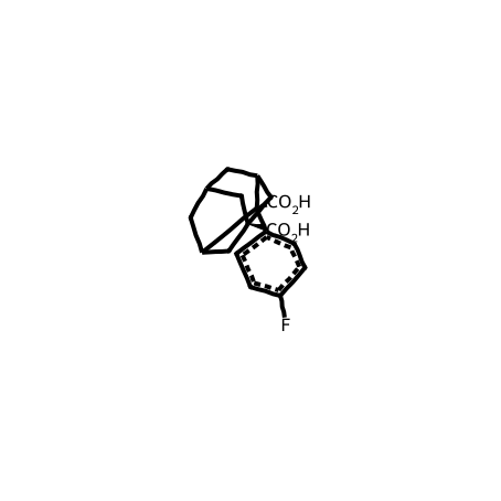 O=C(O)[C@]12CC3CC(C1)[C@@](C(=O)O)(c1ccc(F)cc1)C(C3)C2